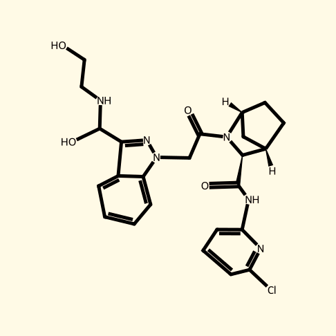 O=C(Nc1cccc(Cl)n1)[C@@H]1[C@H]2CC[C@H](C2)N1C(=O)Cn1nc(C(O)NCCO)c2ccccc21